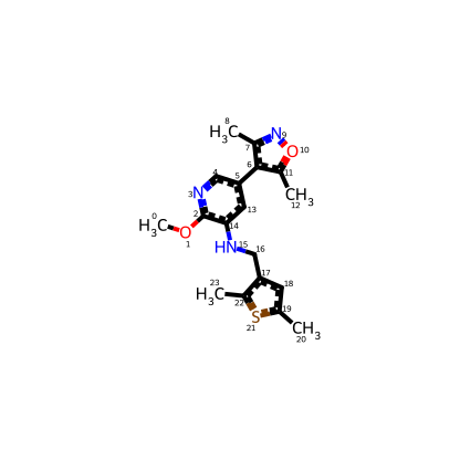 COc1ncc(-c2c(C)noc2C)cc1NCc1cc(C)sc1C